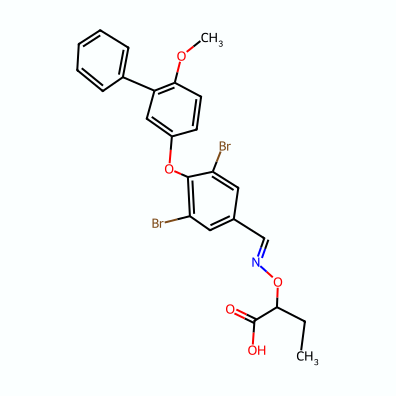 CCC(O/N=C/c1cc(Br)c(Oc2ccc(OC)c(-c3ccccc3)c2)c(Br)c1)C(=O)O